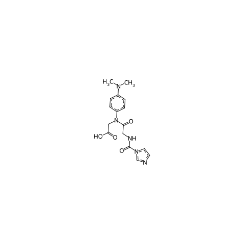 CN(C)c1ccc(N(CC(=O)O)C(=O)CNC(=O)n2ccnc2)cc1